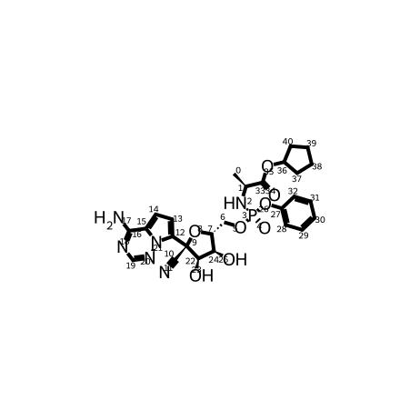 C[C@H](N[P@](=O)(OC[C@H]1O[C@@](C#N)(c2ccc3c(N)ncnn23)[C@H](O)[C@@H]1O)Oc1ccccc1)C(=O)OC1CCCC1